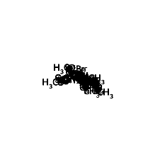 CC(=O)OC1CCN(C2C[C@@]3(C)C(CC[C@@H]4[C@H]3CC[C@]3(C)C(OC(C)=O)C([N+]5(C)CCC(OC(C)=O)CC5)C[C@@H]43)CC2OC(C)=O)CC1.[Br-]